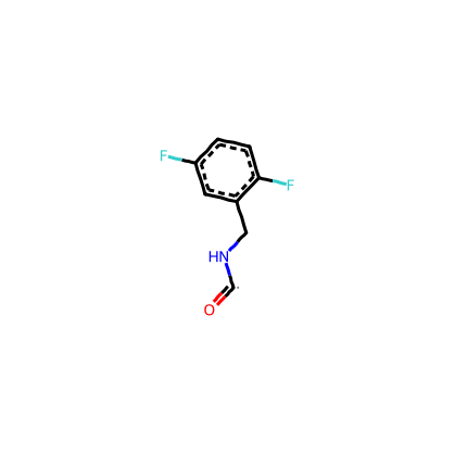 O=[C]NCc1cc(F)ccc1F